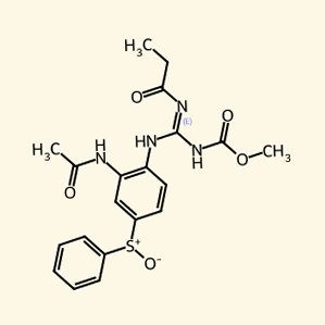 CCC(=O)/N=C(/NC(=O)OC)Nc1ccc([S+]([O-])c2ccccc2)cc1NC(C)=O